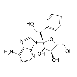 Nc1ncnc2c1ncn2[C@]1(C(CO)c2ccccc2)O[C@H](CO)[C@@H](O)[C@H]1O